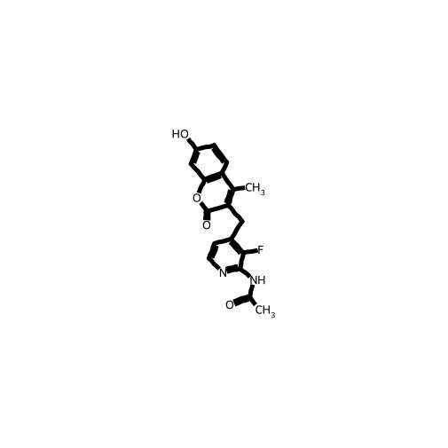 CC(=O)Nc1nccc(Cc2c(C)c3ccc(O)cc3oc2=O)c1F